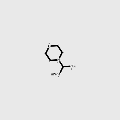 CCCCCC(CCCC)N1CCOCC1